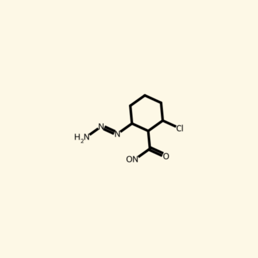 NN=NC1CCCC(Cl)C1C(=O)N=O